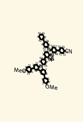 COc1ccc(-c2ccc3c(c2)c2cc(-c4ccc(OC)cc4)ccc2n3-c2ccc(-c3ccc(N(c4ccc(-c5ccccc5)cc4)c4ccc(-c5ccc(C#N)cc5)cc4)c4nsnc34)cc2)cc1